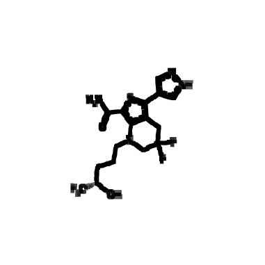 NC(=O)c1sc(-c2cn[nH]c2)c2c1N(CCC[C@H](O)C(F)(F)F)CC(F)(F)C2